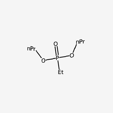 [CH2]CP(=O)(OCCC)OCCC